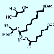 CCCCCCCCCCCCCCCC(=O)OC(C)C.CCCCCCCCCCCCCCCCCC(=O)OC(CC)CCCCC.OCC(O)CO